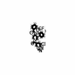 O=C(N[C@@H]1CCN(C(=O)c2cc(Cl)c3nncn3c2)C[C@@H]1c1ccccc1)c1ccccc1OC(F)(F)F